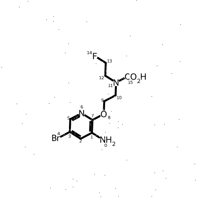 Nc1cc(Br)cnc1OCCN(CCF)C(=O)O